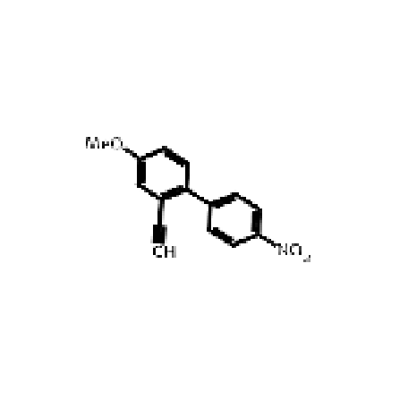 C#Cc1cc(OC)ccc1-c1ccc([N+](=O)[O-])cc1